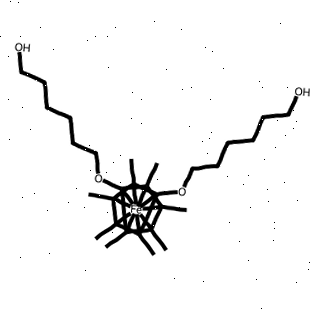 C[C]12[C]3(C)[C]4(C)[C]5(OCCCCCCO)[C]1(C)[Fe]23451678[C]2(C)[C]1(C)[C]6(C)[C]7(OCCCCCCO)[C]28C